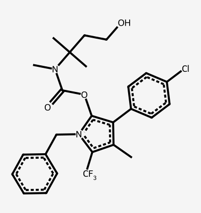 Cc1c(-c2ccc(Cl)cc2)c(OC(=O)N(C)C(C)(C)CCO)n(Cc2ccccc2)c1C(F)(F)F